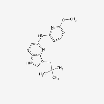 COc1cccc(Nc2cnc3[nH]cc(CC(C)(C)C)c3n2)n1